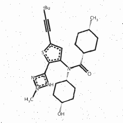 Cn1nc(-c2sc(C#CC(C)(C)C)cc2N(C(=O)[C@H]2CC[C@@H](C)CC2)[C@H]2CC[C@@H](O)CC2)[nH]1